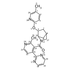 Cc1ccc(OC2CC3CC2N(C(=O)c2c(-c4ncccn4)ccnc2C)C3)nc1